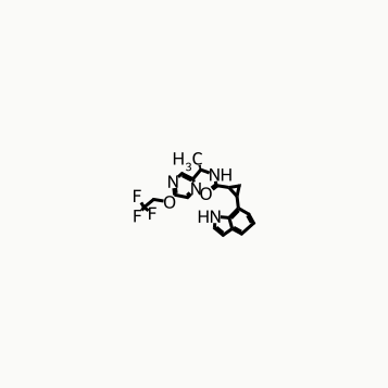 C[C@@H](NC(=O)C1CC1c1cccc2cc[nH]c12)c1cnc(OCC(F)(F)F)cn1